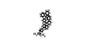 C[SiH](C)c1ccc(-c2ccc(N(c3ccc4c(c3)C(c3ccccc3)(c3ccccc3)c3ccccc3-4)c3ccccc3-c3ccccc3)cc2)cc1